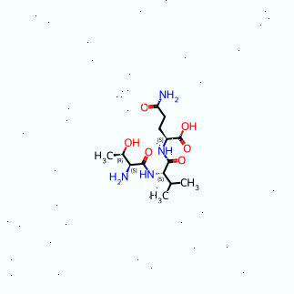 CC(C)[C@H](NC(=O)[C@@H](N)[C@@H](C)O)C(=O)N[C@@H](CCC(N)=O)C(=O)O